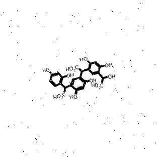 O=C(O)C(O)c1cc(C(C(=O)O)c2cc(C(C(=O)O)c3ccc(O)cc3O)c(O)cc2O)c(O)cc1O